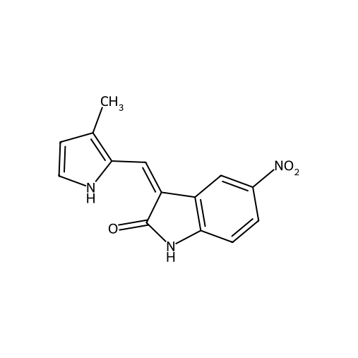 Cc1cc[nH]c1C=C1C(=O)Nc2ccc([N+](=O)[O-])cc21